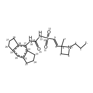 [CH2]CCN1CCC1(C)C=CS(=O)(=O)NC(=O)Nc1c2c(cc3c1CCC3)CCC2